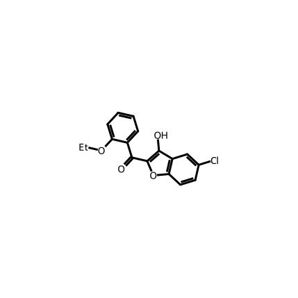 CCOc1ccccc1C(=O)c1oc2ccc(Cl)cc2c1O